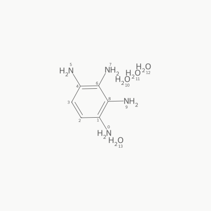 Nc1ccc(N)c(N)c1N.O.O.O.O